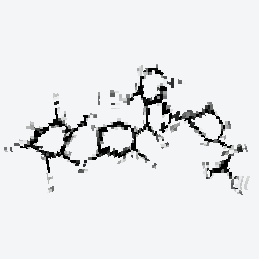 Nc1ncnc2c1c(-c1ccc(Oc3c(F)c(F)cc(F)c3F)cc1F)nn2[C@H]1CCC(NC(=O)O)C1